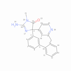 Cc1cc(C2(c3cccc(-c4ccccc4)c3)N=C(N)N(C)C2=O)ccn1